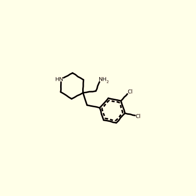 NCC1(Cc2ccc(Cl)c(Cl)c2)CCNCC1